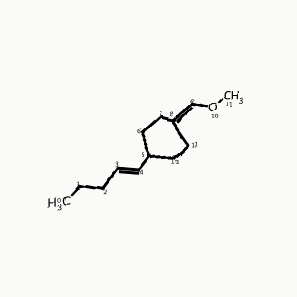 CCCC=CC1CCC(=COC)CC1